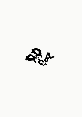 CC1=CCc2cc(-c3cc(N(c4c(C)cccc4C)c4c(C)cccc4C)ccn3)c(C(C)O)cc21